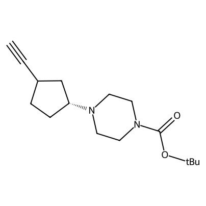 C#CC1CC[C@@H](N2CCN(C(=O)OC(C)(C)C)CC2)C1